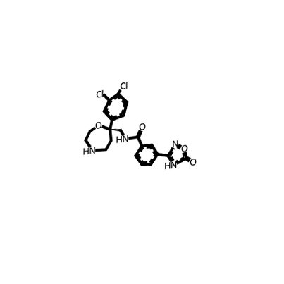 O=C(NC[C@@]1(c2ccc(Cl)c(Cl)c2)CCNCCO1)c1cccc(-c2noc(=O)[nH]2)c1